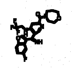 N=C(c1cnc(C(=O)N2CCCOCC2)cc1NCC(F)(F)F)c1coc2ccc(F)cc12